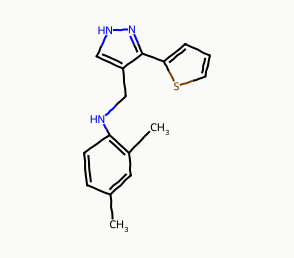 Cc1ccc(NCc2c[nH]nc2-c2cccs2)c(C)c1